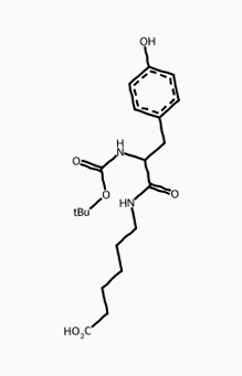 CC(C)(C)OC(=O)NC(Cc1ccc(O)cc1)C(=O)NCCCCCC(=O)O